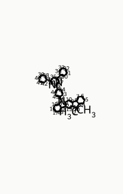 CC1(C)c2ccccc2-c2cc3c(cc21)c1ccccc1n3-c1ccc(-c2nc(-c3ccccc3)cc(-c3ccccc3)n2)cc1